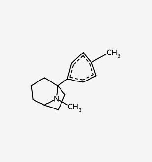 Cc1ccc(C23CCCC(CC2)N3C)cc1